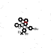 CCC(C)(C)c1cc2c(cc1C(C)C)N(c1ccc(C(C)(C)C)cc1)c1cc(C)cc3c1B2C1=C(C2C=CC=CC2O1)N3c1ccccc1-c1ccccc1